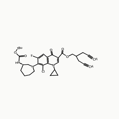 C#CCC(CC#C)COC(=O)c1cn(C2CC2)c2c(Cl)c(N3CCCC[C@@H](NC(=O)OC(C)(C)C)C3)c(F)cc2c1=O